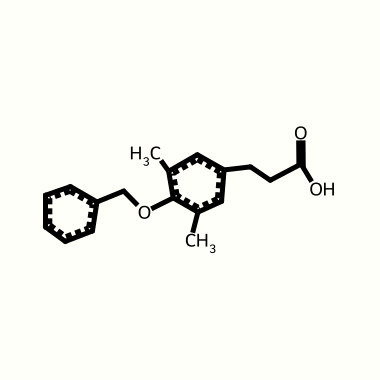 Cc1cc(CCC(=O)O)cc(C)c1OCc1ccccc1